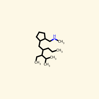 CCCC(CC1CCCC1CNC)C(CC)C(C)C